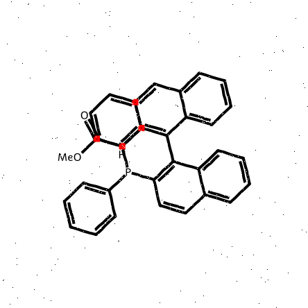 COC(=O)Nc1ccc2ccccc2c1-c1c(P(c2ccccc2)c2ccccc2)ccc2ccccc12